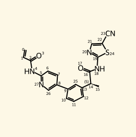 C=CC(=O)Nc1ccc(-c2cccc([C@H](C)C(=O)Nc3ncc(C#N)s3)c2)cn1